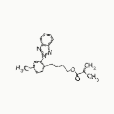 C=C(C)C(=O)OCCCCc1ccc(C)cc1-n1nc2ccccc2n1